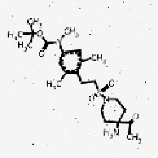 CC(=O)C1(N)CCN(S(=O)(=O)CCc2c(C)cc(N(C)C(=O)OC(C)(C)C)cc2C)CC1